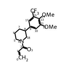 C=CC(=O)N1CCCC(c2cc(OC)c(OC)c(C(F)(F)F)c2)C1